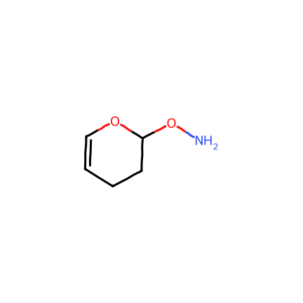 NOC1CCC=CO1